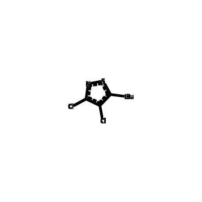 CC(C)(C)c1snc(Cl)c1Cl